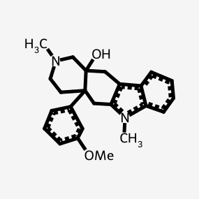 COc1cccc(C23CCN(C)CC2(O)Cc2c(n(C)c4ccccc24)C3)c1